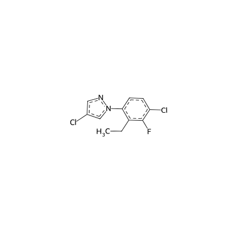 CCc1c(-n2cc(Cl)cn2)ccc(Cl)c1F